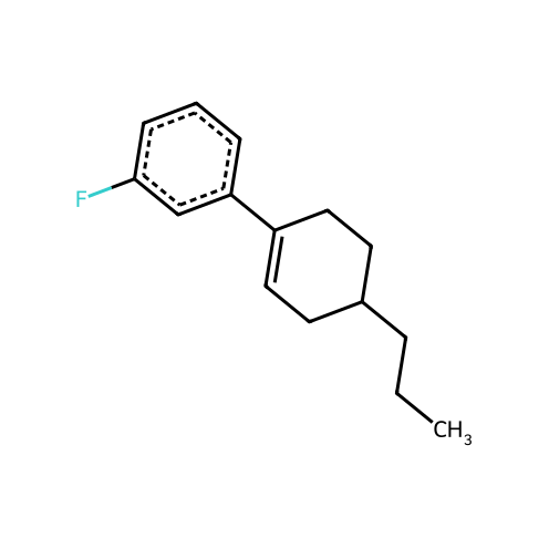 CCCC1CC=C(c2cccc(F)c2)CC1